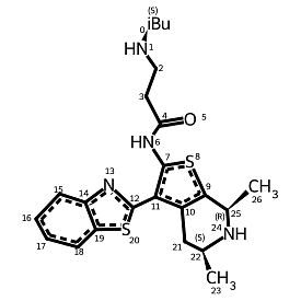 CC[C@H](C)NCCC(=O)Nc1sc2c(c1-c1nc3ccccc3s1)C[C@H](C)N[C@@H]2C